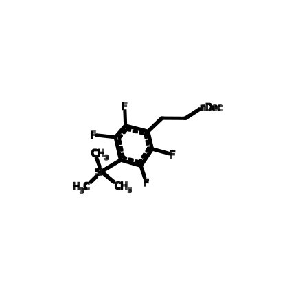 CCCCCCCCCCCCc1c(F)c(F)c([Si](C)(C)C)c(F)c1F